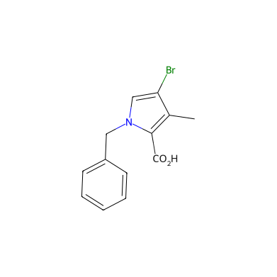 Cc1c(Br)cn(Cc2ccccc2)c1C(=O)O